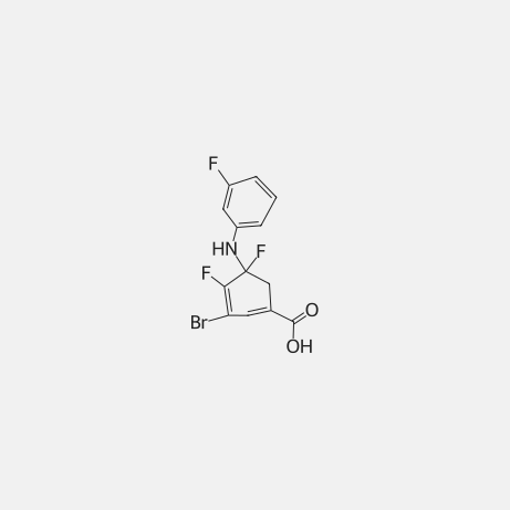 O=C(O)C1=CC(Br)=C(F)C(F)(Nc2cccc(F)c2)C1